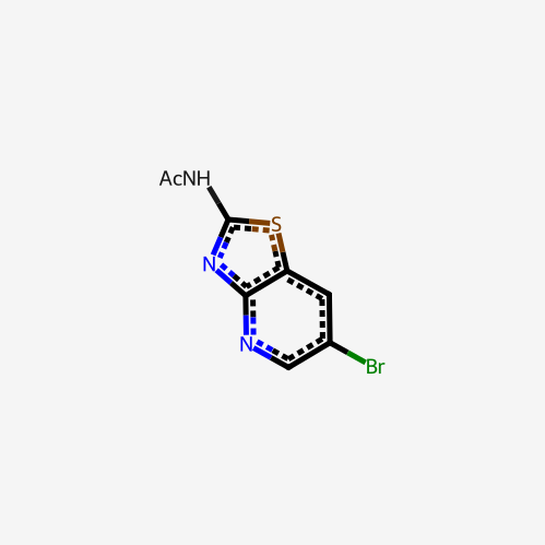 CC(=O)Nc1nc2ncc(Br)cc2s1